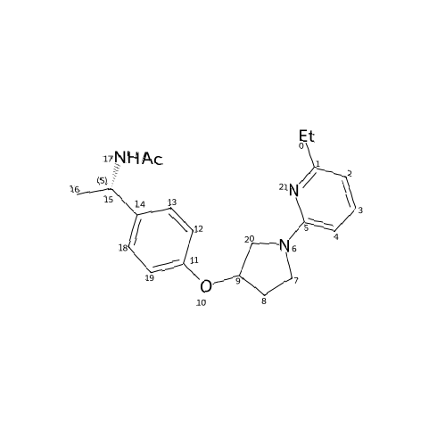 CCc1cccc(N2CCC(Oc3ccc([C@H](C)NC(C)=O)cc3)C2)n1